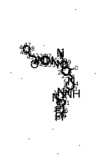 Cc1c(CN2CCC(Nc3ncnc4sc(CC(F)(F)F)cc34)CC2)ccc2c1cc(C#N)n2CCN1CCN(C(=O)CCC2CCCC2)CC1